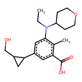 CCN(c1cc(C2CC2CO)cc(C(=O)O)c1C)C1CCOCC1